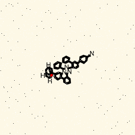 N#Cc1ccc(-c2ccc(-c3nc(-c4ccccc4)nc(-c4ccccc4-c4ccc(C56C[C@H]7C[C@@H](C5)C[C@@H](C6)C7)cc4)n3)c(-c3ccccc3)c2)cc1